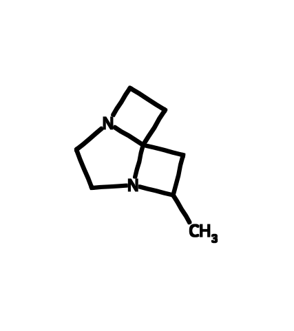 CC1CC23CCN2CCN13